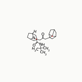 CC(C)(C)NC(=O)CN1C2CC[C@@H]1CC(CC(=O)CC13CC4CC(CC1C4)C3)C2